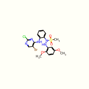 COc1ccc(OC)c(NN(c2ccccc2Nc2nc(Cl)ncc2Br)S(C)(=O)=O)c1